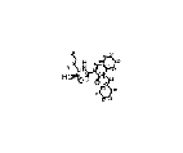 CC[C@@H](C)[C@H](NC(=O)c1cc2c(n(CC3CCCCC3)c1=O)CCCC2)C(=O)O